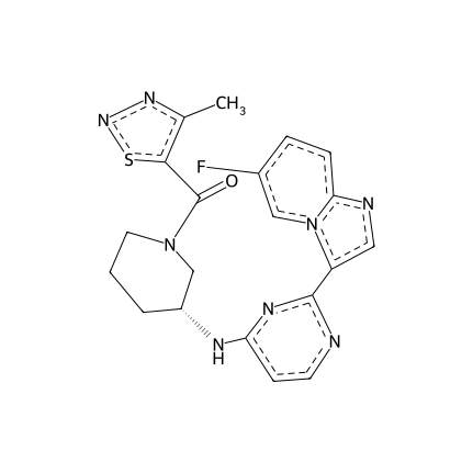 Cc1nnsc1C(=O)N1CCC[C@@H](Nc2ccnc(-c3cnc4ccc(F)cn34)n2)C1